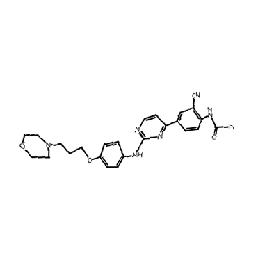 CC(C)C(=O)Nc1ccc(-c2ccnc(Nc3ccc(OCCCN4CCOCC4)cc3)n2)cc1C#N